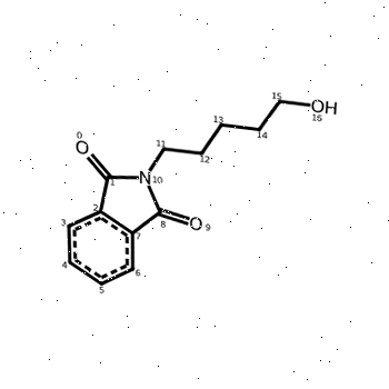 O=C1c2ccccc2C(=O)N1CCCCCO